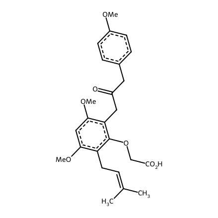 COc1ccc(CC(=O)Cc2c(OC)cc(OC)c(CC=C(C)C)c2OCC(=O)O)cc1